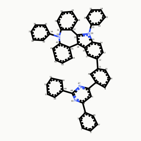 c1ccc(-c2cc(-c3cccc(-c4ccc5c(c4)c4c(n5-c5ccccc5)-c5ccccc5N(c5ccccc5)c5ccccc5-4)c3)nc(-c3ccccc3)n2)cc1